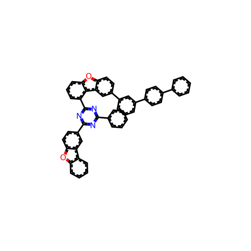 c1ccc(-c2ccc(-c3cccc(-c4ccc5oc6cccc(-c7nc(-c8ccccc8)nc(-c8ccc9oc%10ccccc%10c9c8)n7)c6c5c4)c3)cc2)cc1